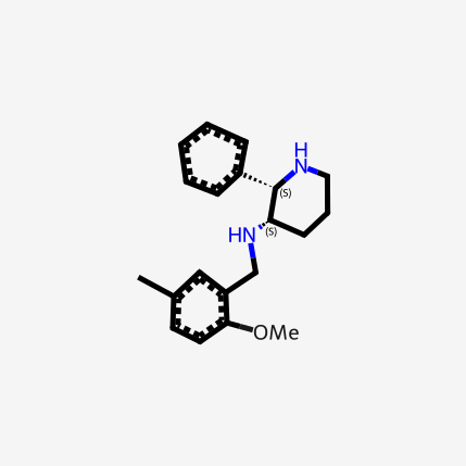 COc1ccc(C)cc1CN[C@H]1CCCN[C@H]1c1ccccc1